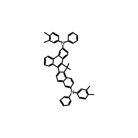 Cc1ccc(N(c2ccccc2)c2ccc3c4c(ccc3c2)-c2c(c3ccc(N(c5ccccc5)c5ccc(C)c(C)c5)cc3c3ccccc23)C4(C)C)cc1C